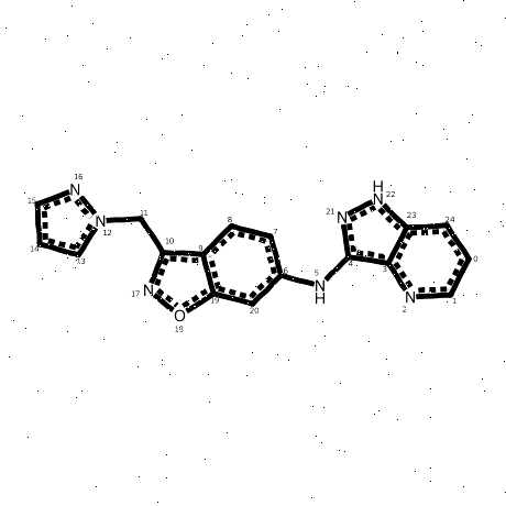 c1cnc2c(Nc3ccc4c(Cn5cccn5)noc4c3)n[nH]c2c1